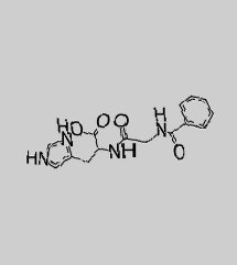 O=C(CNC(=O)c1ccccc1)NC(Cc1c[nH]cn1)C(=O)O